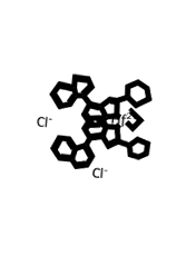 C1=C(C2CCCCC2)[CH]([Hf+2]2([CH]3C(C4CCCCC4)=Cc4c(-c5cccc6ccccc56)cccc43)[CH2]C[CH2]2)c2cccc(-c3cccc4ccccc34)c21.[Cl-].[Cl-]